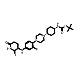 CC(C)(C)OC(=O)N[C@H]1CC[C@H](N2CCN(c3ccc(NC4CCC(=O)NC4=O)cc3F)CC2)CC1